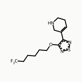 FC(F)(F)CCCCCOc1nsnc1C1=CCCNC1